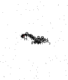 Cc1cc(C)c(CNC(=O)c2cc(-c3ccc(N4CCN(CCC(=O)NCC56CC7CC(CC5C7)C6)CC4)nc3)cc(NC(C)C)c2C=N)c(=O)[nH]1